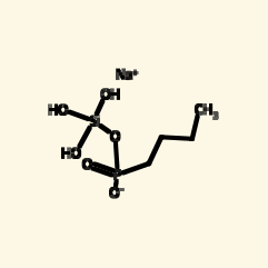 CCCCP(=O)([O-])O[Si](O)(O)O.[Na+]